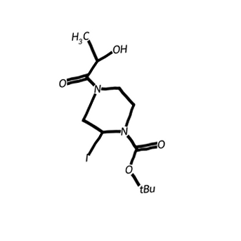 CC(O)C(=O)N1CCN(C(=O)OC(C)(C)C)C(I)C1